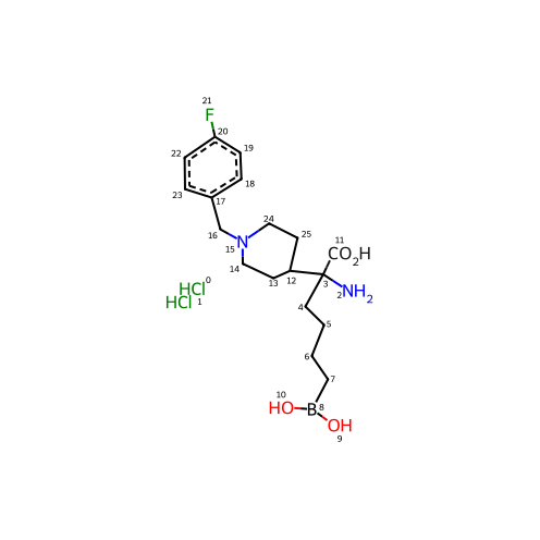 Cl.Cl.NC(CCCCB(O)O)(C(=O)O)C1CCN(Cc2ccc(F)cc2)CC1